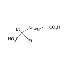 CCC(CC)(/N=N/CC(=O)O)C(=O)O